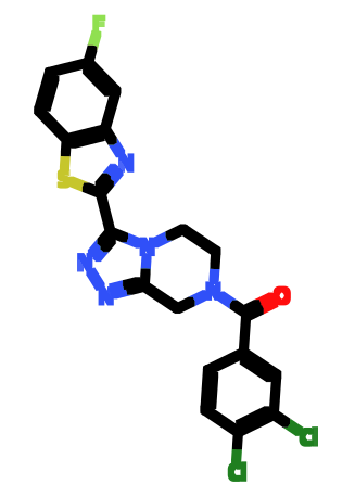 O=C(c1ccc(Cl)c(Cl)c1)N1CCn2c(nnc2-c2nc3cc(F)ccc3s2)C1